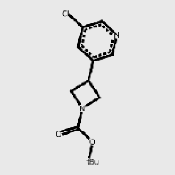 CC(C)(C)OC(=O)N1CC(c2cncc(Cl)c2)C1